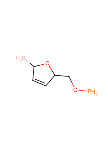 BC1C=CC(COP)O1